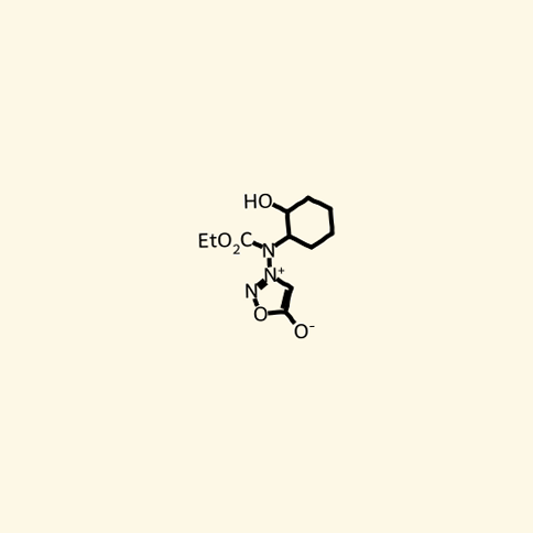 CCOC(=O)N(C1CCCCC1O)[n+]1cc([O-])on1